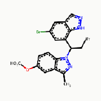 Cc1nn(C(CC(C)C)c2cc(Br)cc3cn[nH]c23)c2ccc(OC(=O)O)cc12